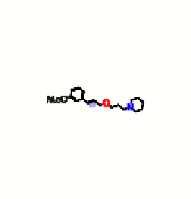 COc1cccc(/C=C/COCCCN2CCCCC2)c1